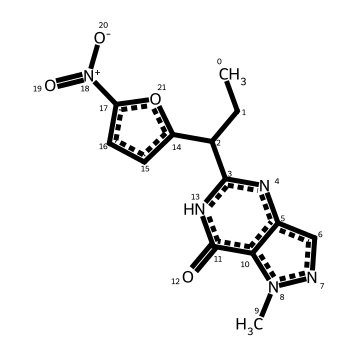 CCC(c1nc2cnn(C)c2c(=O)[nH]1)c1ccc([N+](=O)[O-])o1